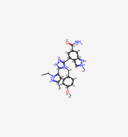 CCn1nc(C)cc1-c1nnc(-c2cc(C(N)=O)cc3nn(C)cc23)n1Cc1ccc(OC)cc1